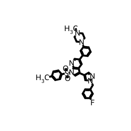 Cc1ccc(S(=O)(=O)n2cc(-c3cnn(Cc4cccc(F)c4)c3)c3cc(-c4cccc(N5CCN(C)CC5)c4)cnc32)cc1